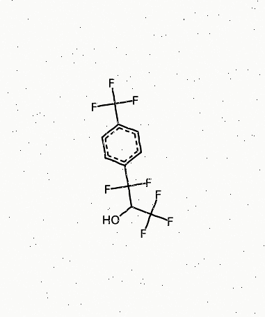 OC(C(F)(F)F)C(F)(F)c1ccc(C(F)(F)F)cc1